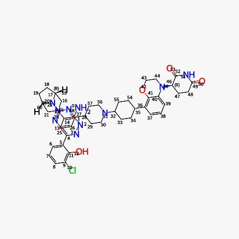 Nc1nnc(-c2cccc(Cl)c2O)cc1N1C[C@H]2CC[C@@H](C1)N2c1nccc(C2CCN(C3CCC(c4cccc5c4OCCN5[C@@H]4CCC(=O)NC4=O)CC3)CC2)n1